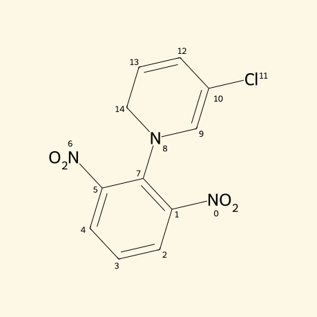 O=[N+]([O-])c1cccc([N+](=O)[O-])c1N1C=C(Cl)C=CC1